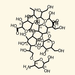 CCC(O)[C@H](O[C@H]1OC(C(O)CO)[C@H](O[C@@H]2OC(CO)[C@@H](O)C(O)C2O)C(O[C@H]2OC(C(O)CO[C@@H]3OC(CO)[C@@H](O)CC3N)[C@@H](O)C(O)C2O[C@@H]2OC(C(=O)O)[C@@H](O)C(O)C2O)C1O)C(OC(O)C(=O)O)C(O)CO